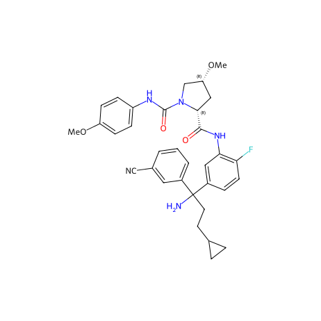 COc1ccc(NC(=O)N2C[C@H](OC)C[C@@H]2C(=O)Nc2cc(C(N)(CCC3CC3)c3cccc(C#N)c3)ccc2F)cc1